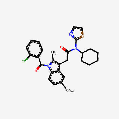 COc1ccc2c(c1)c(CC(=O)N(c1nccs1)C1CCCCC1)c(C)n2C(=O)c1ccccc1Cl